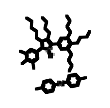 CCCCCC1=C(c2cc(C)c(C)c(C)c2)[N+](=[N-])C(c2cc(CCCC)c(CCCC)c(CCCC)c2)=C1CCCC.Cc1cc[c]([Pd][c]2ccc(C)cc2)cc1